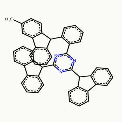 Cc1ccc2c(c1)-c1ccccc1C2c1ccccc1-c1nc(C2c3ccccc3-c3ccccc32)nc(C2c3ccccc3-c3ccccc32)n1